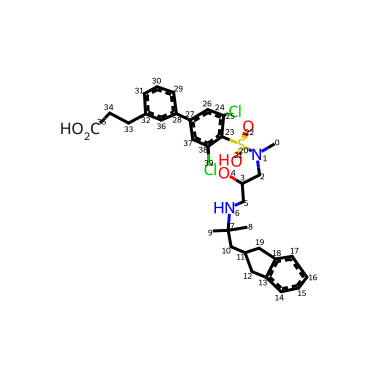 CN(CC(O)CNC(C)(C)CC1Cc2ccccc2C1)S(=O)(=O)c1c(Cl)cc(-c2cccc(CCC(=O)O)c2)cc1Cl